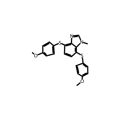 COc1ccc(Sc2ccc(Sc3ccc(OC)cc3)c3c2ncn3C)cc1